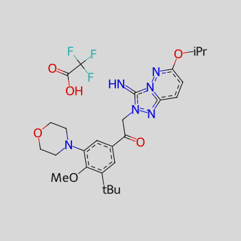 COc1c(N2CCOCC2)cc(C(=O)Cn2nc3ccc(OC(C)C)nn3c2=N)cc1C(C)(C)C.O=C(O)C(F)(F)F